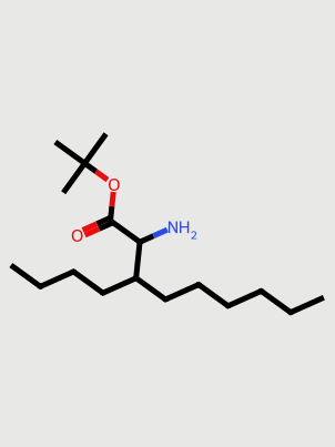 CCCCCCC(CCCC)C(N)C(=O)OC(C)(C)C